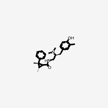 Cc1cc(C[C@@H](CNC(=O)C2[C@H](C)[C@]2(C)c2ccccc2)N(C)C)ccc1O